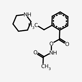 C1CCNCC1.CCc1ccccc1C(=O)ONC(C)=O